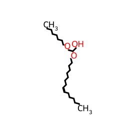 CCCCCC/C=C\CCCCCCCCOC(CO)COCCCCCCCC